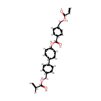 C=CC(=O)OCc1ccc(C(=O)Oc2ccc(-c3ccc(COC(=O)C(=C)C)cc3)cc2)cc1